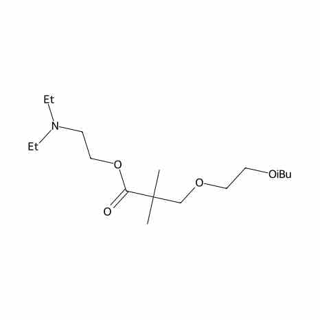 CCN(CC)CCOC(=O)C(C)(C)COCCOCC(C)C